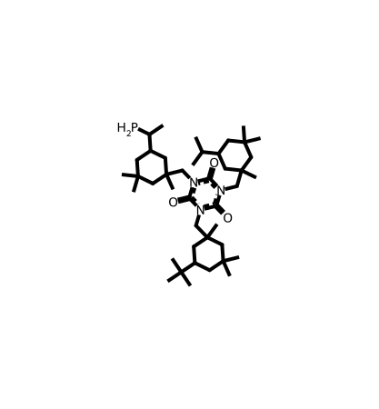 CC(C)C1CC(C)(C)CC(C)(Cn2c(=O)n(CC3(C)CC(C(C)P)CC(C)(C)C3)c(=O)n(CC3(C)CC(C(C)(C)C)CC(C)(C)C3)c2=O)C1